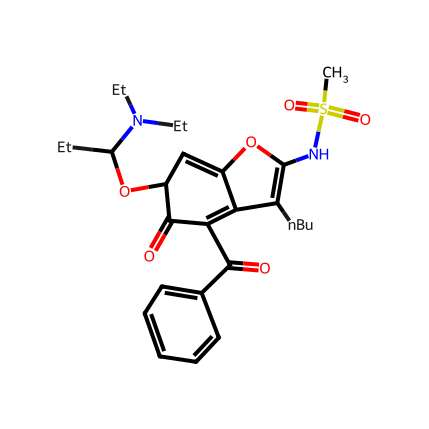 CCCCc1c(NS(C)(=O)=O)oc2c1=C(C(=O)c1ccccc1)C(=O)C(OC(CC)N(CC)CC)C=2